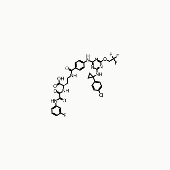 O=C(Nc1cccc(F)c1)C(=O)N[C@H](CCNC(=O)c1ccc(Nc2nc(NC3(c4ccc(Cl)cc4)CC3)nc(OCC(F)(F)F)n2)cc1)C(=O)O